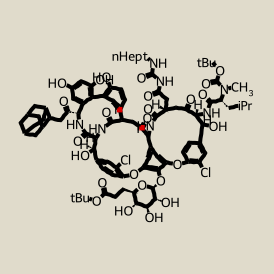 CCCCCCCNC(=O)NC(=O)C[C@@H]1CC(=O)[C@H](NC(=O)[C@@H](CC(C)C)N(C)C(=O)OC(C)(C)C)[C@H](O)c2ccc(c(Cl)c2)Oc2cc3cc(c2O[C@@H]2O[C@H](CCC(=O)OC(C)(C)C)[C@@H](O)[C@H](O)[C@H]2O)Oc2ccc(cc2Cl)[C@@H](O)[C@@H]2NC(=O)[C@H](CC(=O)[C@@H]3NC1=O)c1ccc(O)c(c1)-c1c(O)cc(O)cc1[C@@H](C(=O)CC1C3CC4CC(C3)CC1C4)NC2=O